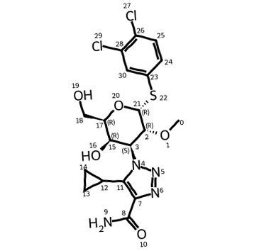 CO[C@@H]1[C@@H](n2nnc(C(N)=O)c2C2CC2)[C@@H](O)[C@@H](CO)O[C@@H]1Sc1ccc(Cl)c(Cl)c1